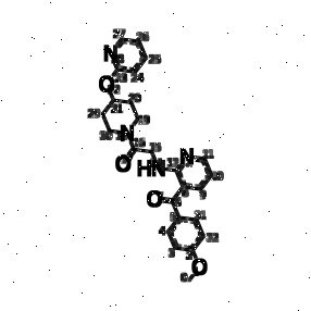 COc1ccc(C(=O)c2cccnc2NCC(=O)N2CCC(Oc3ccccn3)CC2)cc1